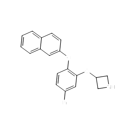 Brc1ccc(Oc2ccc3ccccc3c2)c(OC2CNC2)c1